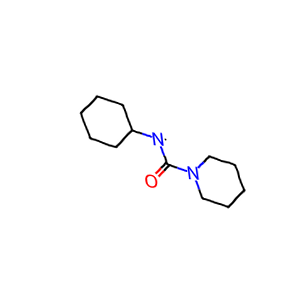 O=C([N]C1CCCCC1)N1CCCCC1